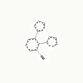 C#Cc1cccc(-c2cccs2)c1-c1cccs1